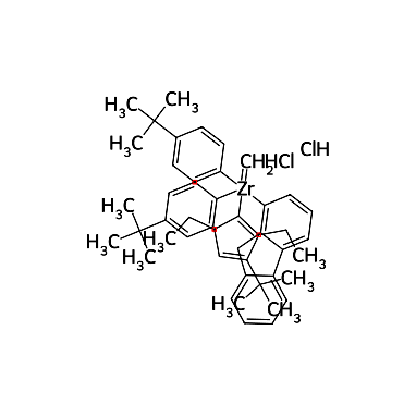 Cl.Cl.[CH2]=[Zr]([C]1=C(CC)C(C(C)(C)C)=CC1CC)([c]1ccc(C(C)(C)C)cc1)([c]1ccc(C(C)(C)C)cc1)[c]1cccc2c1Cc1ccccc1-2